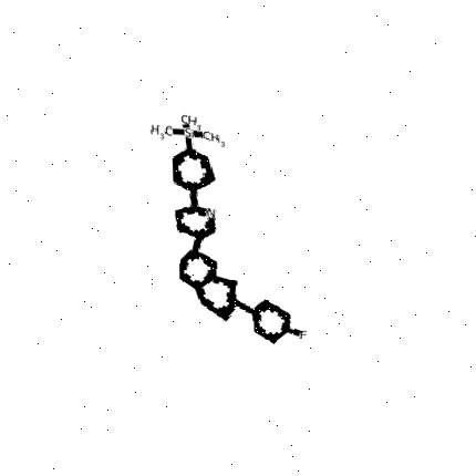 C[Si](C)(C)c1ccc(-c2ccc(-c3ccc4ccc(-c5ccc(F)cc5)cc4c3)cn2)cc1